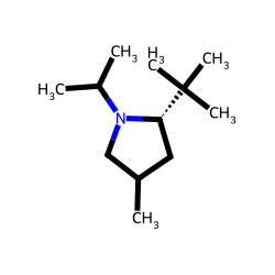 CC1C[C@@H](C(C)(C)C)N(C(C)C)C1